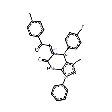 Cc1ccc(C(=O)/N=C2\C(=O)Nc3c(c(C)nn3-c3ccccc3)[C@@H]2c2ccc(F)cc2)cc1